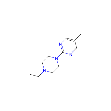 CCN1CCN(c2ncc(C)cn2)CC1